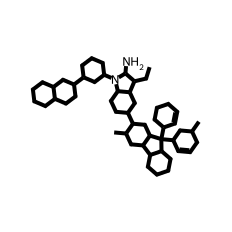 CCC1C2CC(C3CC4C(CC3C)C3CCCCC3C4(C3C=CCCC3)C3C=CCC(C)C3)CCC2N(C2CCCC(C3CCC4CCCCC4C3)C2)C1N